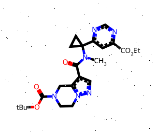 CCOC(=O)c1cc(C2(N(C)C(=O)c3cnn4c3CN(C(=O)OC(C)(C)C)CC4)CC2)ncn1